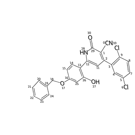 N#Cc1c(-c2cc(Cl)ccc2Cl)cc(-c2ccc(OCc3ccccc3)cc2O)[nH]c1=O